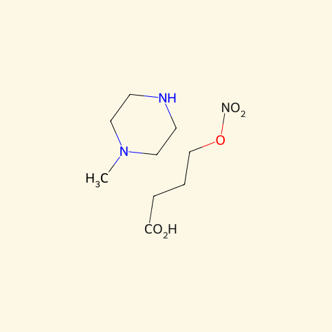 CN1CCNCC1.O=C(O)CCCO[N+](=O)[O-]